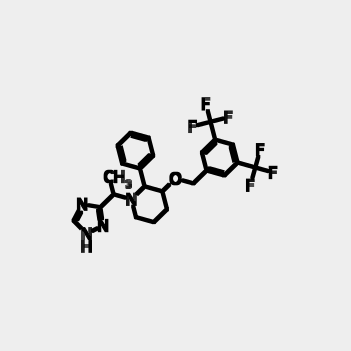 CC(c1nc[nH]n1)N1CCCC(OCc2cc(C(F)(F)F)cc(C(F)(F)F)c2)C1c1ccccc1